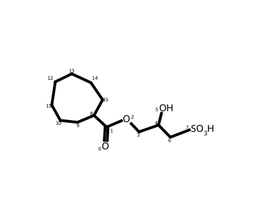 O=C(OCC(O)CS(=O)(=O)O)C1CCCCCCC1